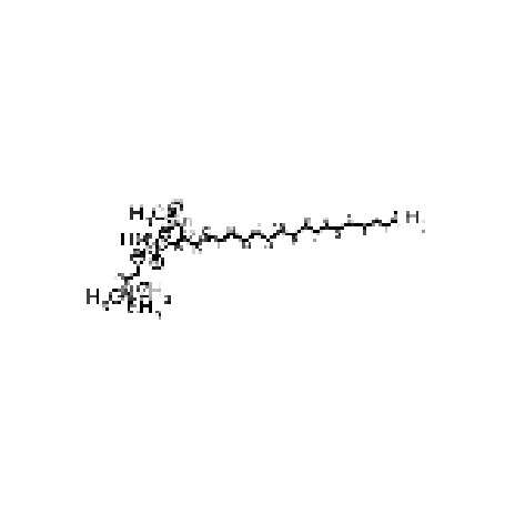 CCCCCCCCCCCCCCCCSCC(COP(=O)(O)OCC[N+](C)(C)C)CS(C)(=O)=O